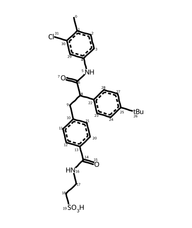 Cc1ccc(NC(=O)C(Cc2ccc(C(=O)NCCS(=O)(=O)O)cc2)c2ccc(C(C)(C)C)cc2)cc1Cl